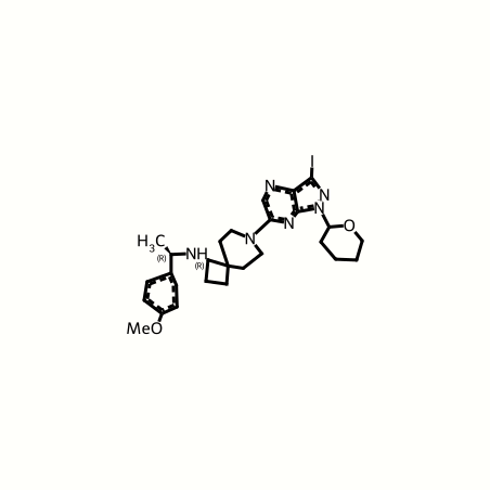 COc1ccc([C@@H](C)N[C@@H]2CCC23CCN(c2cnc4c(I)nn(C5CCCCO5)c4n2)CC3)cc1